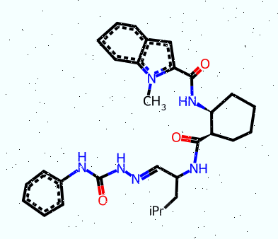 CC(C)CC(/C=N/NC(=O)Nc1ccccc1)NC(=O)[C@@H]1CCCC[C@@H]1NC(=O)c1cc2ccccc2n1C